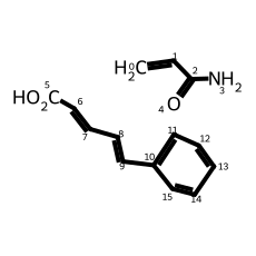 C=CC(N)=O.O=C(O)C=CC=Cc1ccccc1